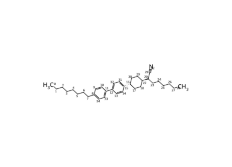 CCCCCCCCc1ccc(-c2ccc([C@H]3CC[C@H](C(C#N)CCCCCC)CC3)cc2)cc1